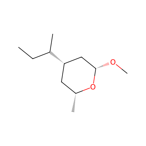 CCC(C)[C@@H]1C[C@H](OC)O[C@H](C)C1